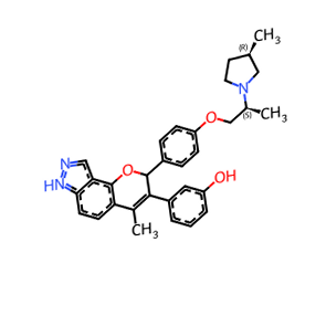 CC1=C(c2cccc(O)c2)C(c2ccc(OC[C@H](C)N3CC[C@@H](C)C3)cc2)Oc2c1ccc1[nH]ncc21